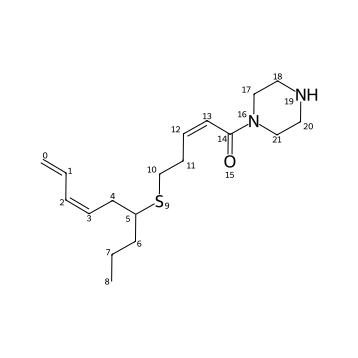 C=C/C=C\CC(CCC)SCC/C=C\C(=O)N1CCNCC1